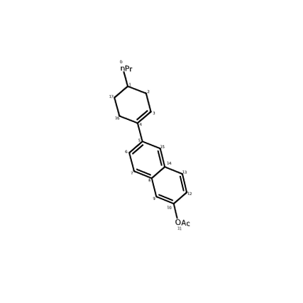 CCCC1CC=C(c2ccc3cc(OC(C)=O)ccc3c2)CC1